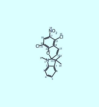 CN1c2ccccc2C(C)(C)C12C=Cc1c(Cl)c([N+](=O)[O-])cc(Cl)c1O2